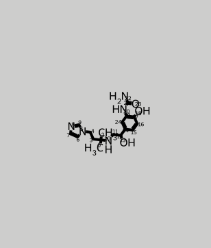 CC(C)(CCn1ccnc1)NCC(O)c1ccc(O)c(NC(N)=O)c1